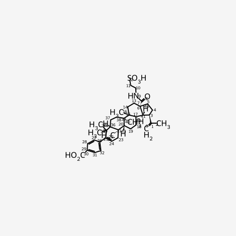 C=C(C)[C@@H]1CC[C@]2(C(=O)NCCS(=O)(=O)O)CC[C@]3(C)[C@H](CC[C@@H]4[C@@]5(C)CC=C(c6ccc(C(=O)O)cc6)C(C)(C)[C@@H]5CC[C@]43C)[C@@H]12